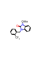 COn1c(=O)n(Cc2ccccc2C(F)(F)F)c2ccccc21